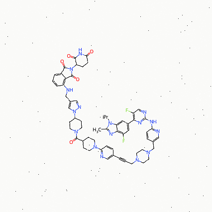 Cc1nc2c(F)cc(-c3nc(Nc4ccc(CN5CCN(CC#Cc6ccc(N7CCC(C(=O)N8CCC(n9cc(CNc%10cccc%11c%10C(=O)N(C%10CCC(=O)NC%10=O)C%11=O)cn9)CC8)CC7)nc6)CC5)cn4)ncc3F)cc2n1C(C)C